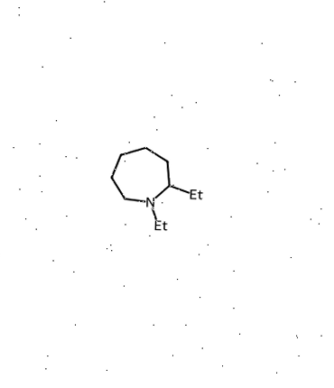 CCC1CCCCCN1CC